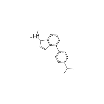 CC(C)c1ccc(-c2cccc3c2C=C[CH]3[Hf]([CH3])[CH3])cc1